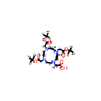 C[C@H](C(=O)O)N1CCN(CC(=O)OC(C)(C)C)CCN(CC(=O)OC(C)(C)C)CCN(CC(=O)OC(C)(C)C)CC1